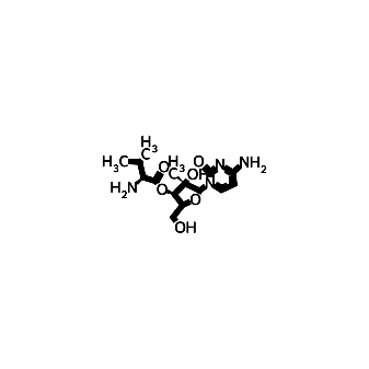 CC(C)[C@H](N)C(=O)O[C@@H]1C(CO)OC(n2ccc(N)nc2=O)[C@]1(C)O